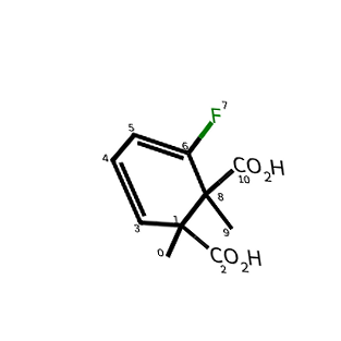 CC1(C(=O)O)C=CC=C(F)C1(C)C(=O)O